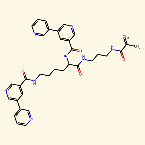 C=C(C)C(=O)NCCCNC(=O)C(CCCCNC(=O)c1cncc(-c2cccnc2)c1)NC(=O)c1cncc(-c2cccnc2)c1